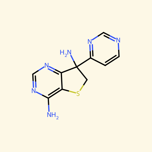 Nc1ncnc2c1SCC2(N)c1ccncn1